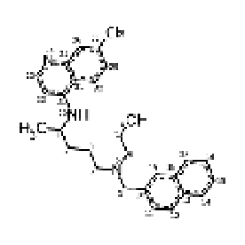 CC(CCCN(CCO)Cc1ccc2ccccc2c1)Nc1ccnc2cc(Cl)ccc12